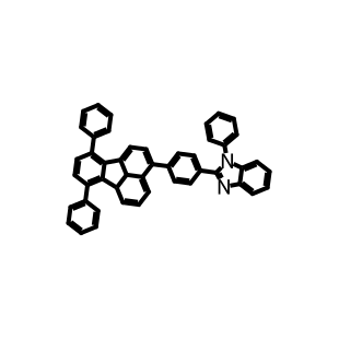 C1=CC2c3c(-c4ccccc4)ccc(-c4ccccc4)c3C3=CC=C(c4ccc(-c5nc6ccccc6n5-c5ccccc5)cc4)C(=C1)C32